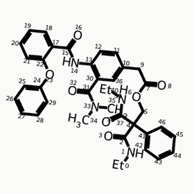 CCNC(=O)C(COC(=O)Cc1ccc(NC(=O)c2ccccc2Oc2ccccc2)c(C(=O)N(C)C)c1)(C(=O)NCC)c1ccccc1